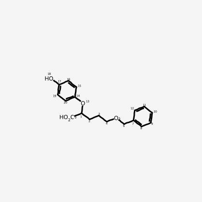 O=C(O)C(CCCOCc1ccccc1)Oc1ccc(O)cc1